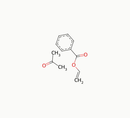 C=COC(=O)c1ccccc1.CC(C)=O